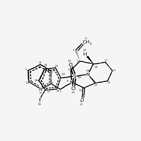 C=C[C@H]1CN(Cc2ccccn2)C(=O)C2CCC[C@@H]1N2S(=O)(=O)c1cccc(F)c1